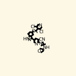 C[C@@H](Oc1ccc2[nH]nc(-c3cnc(N4CC(C)(N[C@@H]5CCOC5)C4)c(C#N)c3)c2c1)c1c(Cl)cncc1Cl